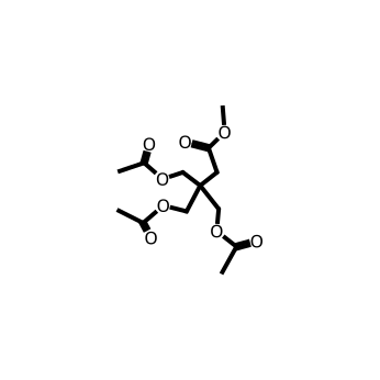 COC(=O)CC(COC(C)=O)(COC(C)=O)COC(C)=O